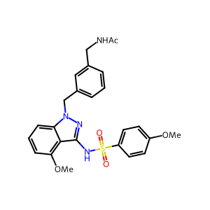 COc1ccc(S(=O)(=O)Nc2nn(Cc3cccc(CNC(C)=O)c3)c3cccc(OC)c23)cc1